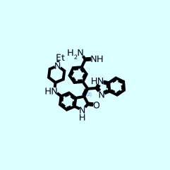 CCN1CCC(Nc2ccc3c(c2)/C(=C(\c2cccc(C(=N)N)c2)c2nc4ccccc4[nH]2)C(=O)N3)CC1